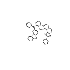 c1ccc(-c2nc3c(ccc4ccc5c6cccc(N(c7ccccc7)c7ccc8oc9ccccc9c8c7)c6ccc5c43)o2)cc1